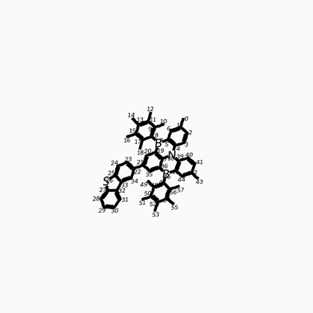 Cc1ccc2c(c1)B(c1c(C)c(C)c(C)c(C)c1C)c1cc(-c3ccc4sc5ccccc5c4c3)cc3c1N2c1ccc(C)cc1B3c1c(C)c(C)c(C)c(C)c1C